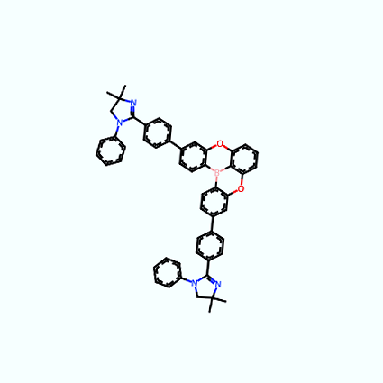 CC1(C)CN(c2ccccc2)C(c2ccc(-c3ccc4c(c3)Oc3cccc5c3B4c3ccc(-c4ccc(C6=NC(C)(C)CN6c6ccccc6)cc4)cc3O5)cc2)=N1